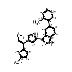 C/C=C(\c1c[nH]c(-c2n[nH]c3ccc(-c4cnccc4C)cc23)c1)c1ccc(C(C)=O)s1